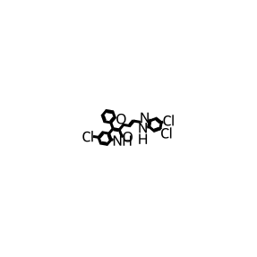 O=C(/C=C/c1nc2cc(Cl)c(Cl)cc2[nH]1)c1c(-c2ccccc2)c2cc(Cl)ccc2[nH]c1=O